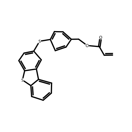 C=CC(=O)OCc1ccc(Sc2ccc3sc4ccccc4c3c2)cc1